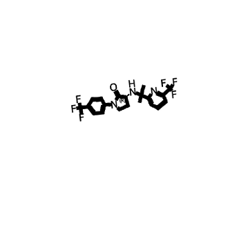 CC(C)(N[C@@H]1CCN(c2ccc(C(F)(F)F)cc2)C1=O)c1cccc(C(F)(F)F)n1